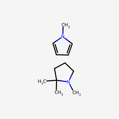 CN1CCCC1(C)C.Cn1cccc1